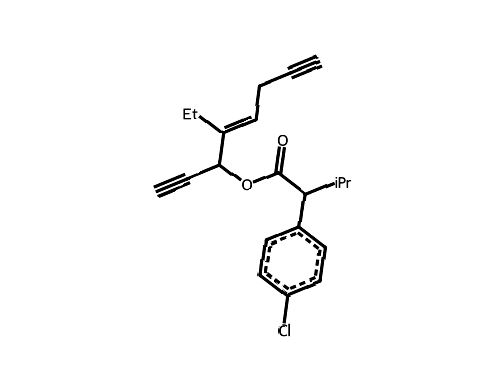 C#CCC=C(CC)C(C#C)OC(=O)C(c1ccc(Cl)cc1)C(C)C